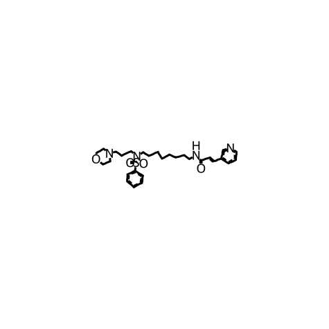 O=C(/C=C/c1cccnc1)NCCCCCCCCN(CCCN1CCOCC1)S(=O)(=O)c1ccccc1